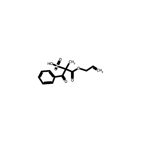 C=CCOC(=O)C(C)(C(=O)c1ccccc1)S(=O)(=O)O